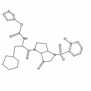 O=C(NC(CC1CCCCC1)C(=O)N1CCC2C1C(=O)CN2S(=O)(=O)c1cccc[n+]1[O-])Oc1ccsc1